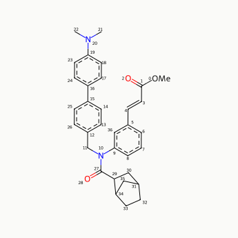 COC(=O)/C=C/c1cccc(N(Cc2ccc(-c3ccc(N(C)C)cc3)cc2)C(=O)C2CC3CCC2C3)c1